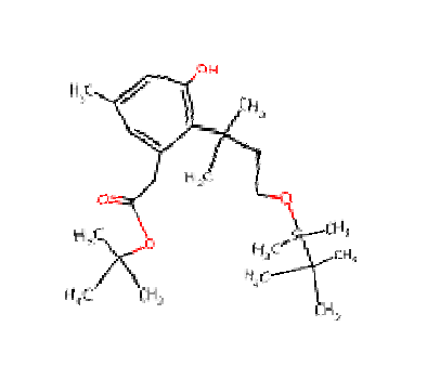 Cc1cc(O)c(C(C)(C)CCO[Si](C)(C)C(C)(C)C)c(CC(=O)OC(C)(C)C)c1